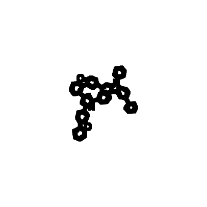 c1ccc(-c2ccc3c(c2)c2ccc(-c4ccc5oc6cccc(-c7cc(-c8ccccc8)nc(-c8ccc9c(c8)oc8ccccc89)c7)c6c5c4)cc2n3-c2ccccc2)cc1